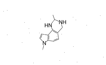 CC1NCc2ccc3c(ccn3C)c2N1